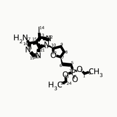 CCOP(=O)(/C=C/[C@@H]1CC[C@H](n2nc(I)c3c(N)ncnc32)O1)OCC